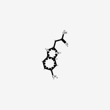 Cc1ccc2oc(CC(=O)O)nc2c1